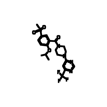 CC(C)Oc1ccc(S(C)(=O)=O)cc1C(=O)N1CCN(c2cc(C(F)(F)F)ncn2)CC1